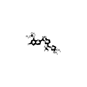 CC(C)Oc1cc(F)cc2ccc(-c3nnc4ccc([C@H](N5CC[C@](C)(N)C5)C(F)(F)F)cn34)nc12